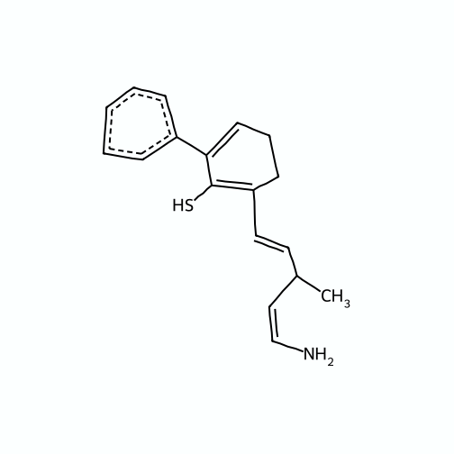 CC(/C=C\N)/C=C/C1=C(S)C(c2ccccc2)=CCC1